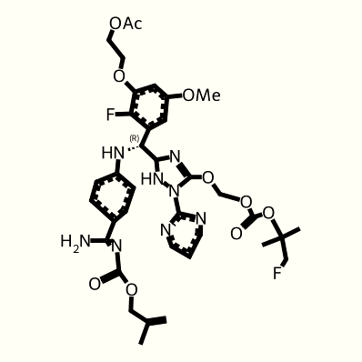 C=C(C)COC(=O)N=C(N)c1ccc(N[C@H](c2cc(OC)cc(OCCOC(C)=O)c2F)C2N=C(OCOC(=O)OC(C)(C)CF)N(c3ncccn3)N2)cc1